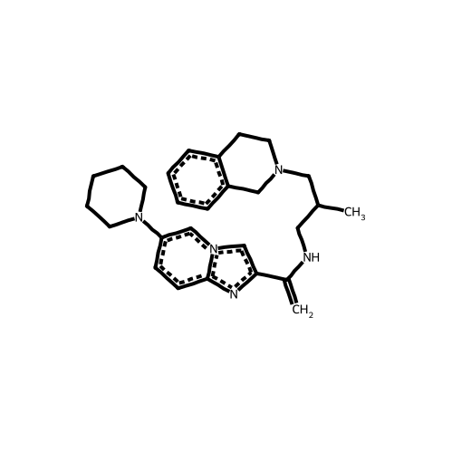 C=C(NCC(C)CN1CCc2ccccc2C1)c1cn2cc(N3CCCCC3)ccc2n1